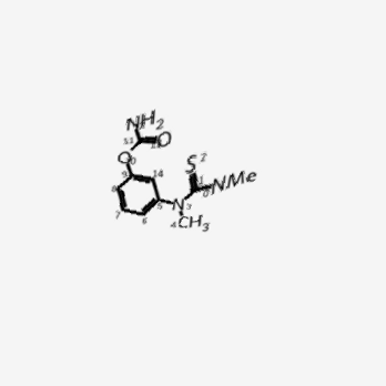 CNC(=S)N(C)c1cccc(OC(N)=O)c1